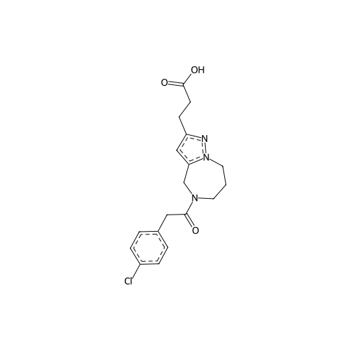 O=C(O)CCc1cc2n(n1)CCCN(C(=O)Cc1ccc(Cl)cc1)C2